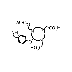 COOCN1CCN(CC(=O)O)CCN(CC(=O)O)CC(Oc2ccc(CN)cc2)C1